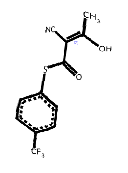 C/C(O)=C(\C#N)C(=O)Sc1ccc(C(F)(F)F)cc1